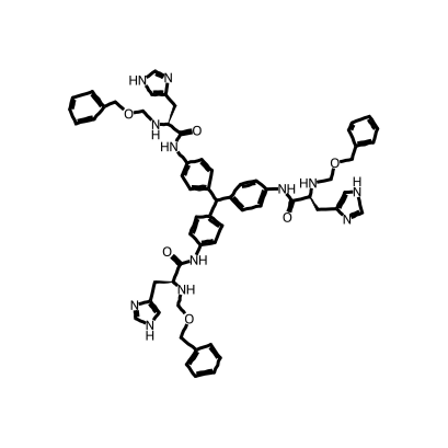 O=C(Nc1ccc(C(c2ccc(NC(=O)[C@H](Cc3c[nH]cn3)NCOCc3ccccc3)cc2)c2ccc(NC(=O)[C@H](Cc3c[nH]cn3)NCOCc3ccccc3)cc2)cc1)[C@H](Cc1c[nH]cn1)NCOCc1ccccc1